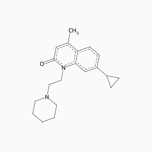 Cc1cc(=O)n(CCN2CC[CH]CC2)c2cc(C3CC3)ccc12